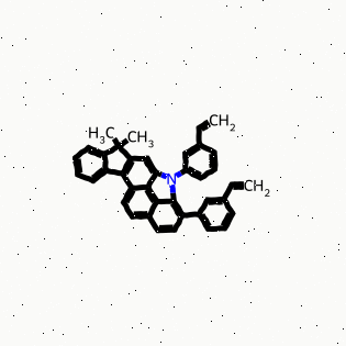 C=Cc1cccc(-c2ccc3ccc4c5c(cc6c4c3c2n6-c2cccc(C=C)c2)C(C)(C)c2ccccc2-5)c1